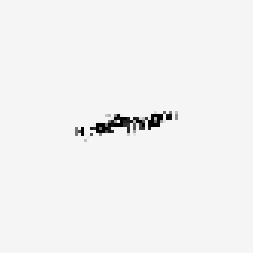 Cc1ccc(S(=O)(=O)N2CCC(CNC[C@@H](O)COc3ccc(O)cc3)CC2)cc1